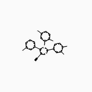 Cc1ccc(-c2nc(C#N)c(-c3cccc(Cl)c3)n2-c2cc(Cl)ccc2C)cc1C